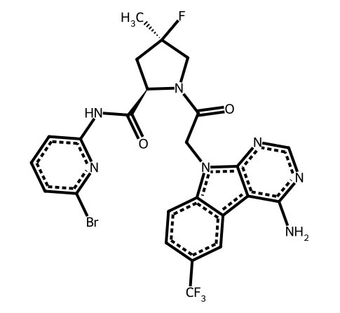 C[C@@]1(F)C[C@H](C(=O)Nc2cccc(Br)n2)N(C(=O)Cn2c3ccc(C(F)(F)F)cc3c3c(N)ncnc32)C1